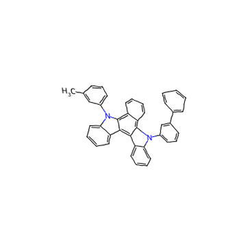 Cc1cccc(-n2c3ccccc3c3c4c5ccccc5n(-c5cccc(-c6ccccc6)c5)c4c4ccccc4c32)c1